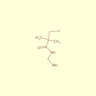 CC(C)(C)CNC(=O)C(C)(C)CI